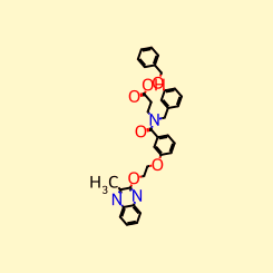 Cc1nc2ccccc2nc1OCCOc1cccc(C(=O)N(CCC(=O)O)Cc2cccc(OCc3ccccc3)c2)c1